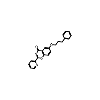 O=c1nc(-c2ccccn2)sc2ccc(OCCCc3ccccc3)cc12